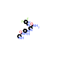 NC(=O)c1cnc(Nc2cccc(NC(=O)[C@@H]3CCCNC3)c2)cc1NCc1cc(F)cc(F)c1